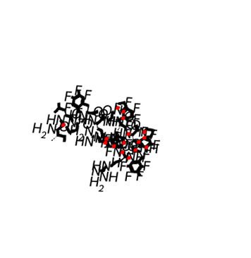 CC[C@H](C)[C@H](N)C(=O)N[C@@H](CC(C)C)C(=O)N1CCC[C@H]1C(=O)N[C@@H](Cc1c(F)c(F)c(F)c(F)c1F)C(=O)N[C@@H](CCCCN)C(=O)N[C@@H](Cc1c(F)c(F)c(F)c(F)c1F)C(=O)N1CCC[C@H]1C(=O)N[C@@H](Cc1c(F)c(F)c(F)c(F)c1F)C(=O)N[C@@H](Cc1c(F)c(F)c(F)c(F)c1F)C(=O)N1CCC[C@H]1C(=O)N[C@@H](Cc1c(F)c(F)c(F)c(F)c1F)C(=O)N[C@@H](CCCNC(=N)N)C(=O)N[C@@H](CCCNC(=N)N)C(N)=O